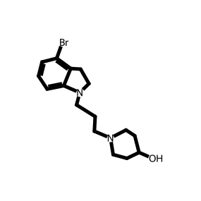 OC1CCN(CCCN2CCc3c(Br)cccc32)CC1